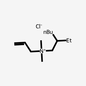 C=CC[N+](C)(C)CC(CC)CCCC.[Cl-]